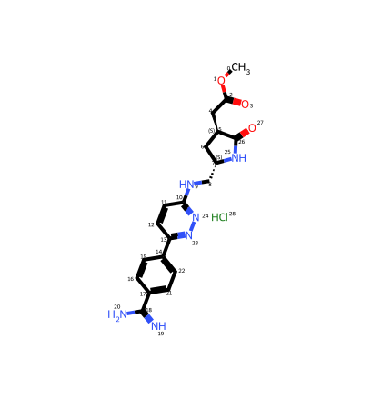 COC(=O)C[C@@H]1C[C@@H](CNc2ccc(-c3ccc(C(=N)N)cc3)nn2)NC1=O.Cl